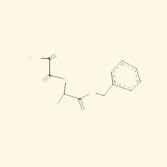 COC(=O)C(=O)NC(C)C(=O)OCc1ccccc1